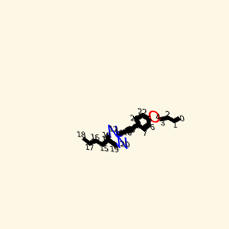 CCCCOc1ccc(C#Cc2ncc(CCCC)cn2)cc1